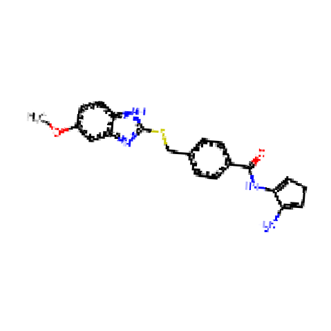 COc1ccc2[nH]c(SCc3ccc(C(=O)NC4=CCC=C4N)cc3)nc2c1